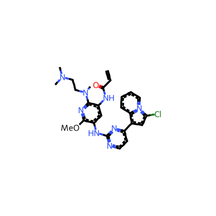 C=CC(=O)Nc1cc(Nc2nccc(-c3cc(Cl)n4ccccc34)n2)c(OC)nc1N(C)CCN(C)C